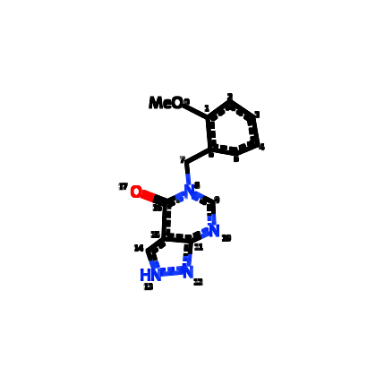 COc1ccccc1Cn1cnc2n[nH]cc2c1=O